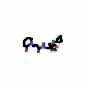 CC(C)(CNC(=O)CCN1CCCCC1=O)C(=O)NC1CCCC1